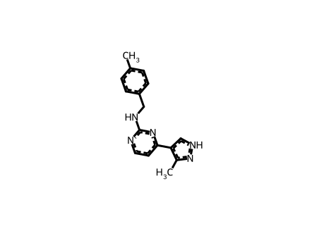 Cc1ccc(CNc2nccc(-c3c[nH]nc3C)n2)cc1